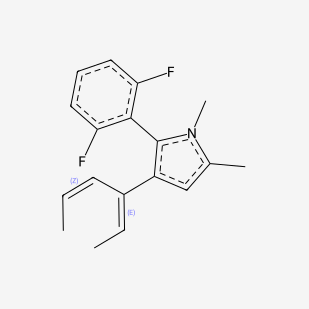 C/C=C\C(=C/C)c1cc(C)n(C)c1-c1c(F)cccc1F